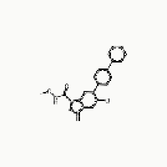 CONC(=O)c1c[nH]c2cc(Cl)c(-c3ccc(-c4ccccc4)cc3)cc12